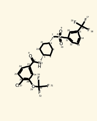 O=C(N[C@H]1CC[C@@H](CS(=O)(=O)c2cccc(C(F)(F)F)c2)CC1)c1ccc(Cl)c(OC(F)(F)F)c1